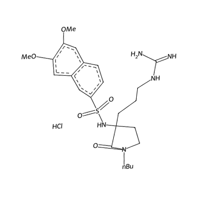 CCCCN1CCC(CCCNC(=N)N)(NS(=O)(=O)c2ccc3cc(OC)c(OC)cc3c2)C1=O.Cl